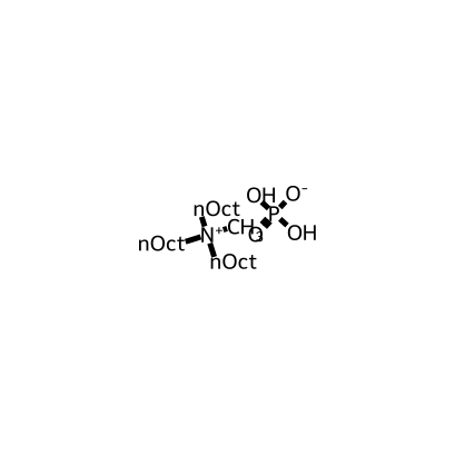 CCCCCCCC[N+](C)(CCCCCCCC)CCCCCCCC.O=P([O-])(O)O